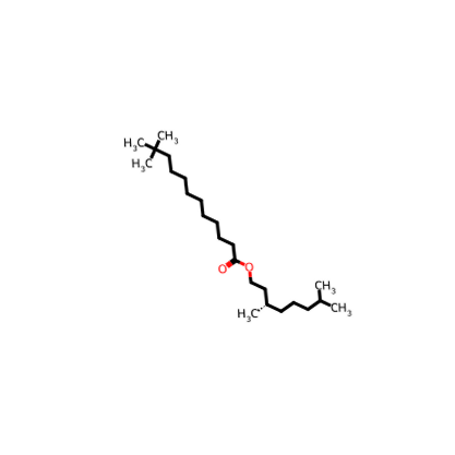 CC(C)CCC[C@H](C)CCOC(=O)CCCCCCCCCC(C)(C)C